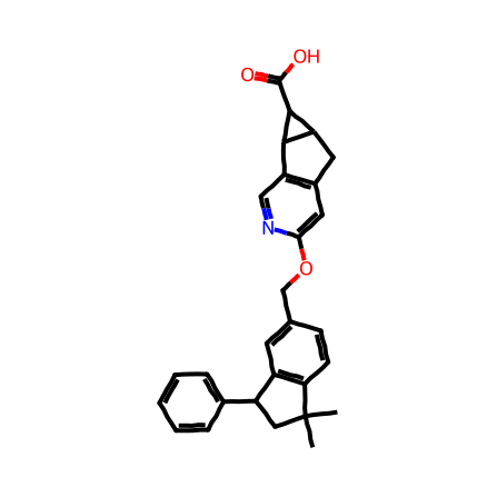 CC1(C)CC(c2ccccc2)c2cc(COc3cc4c(cn3)C3C(C4)C3C(=O)O)ccc21